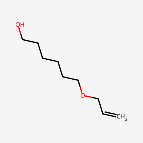 C=CCOCCCCCCO